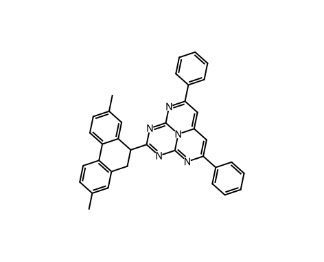 Cc1ccc2c(c1)CC(C1=NC3=NC(c4ccccc4)=CC4=CC(c5ccccc5)=NC(=N1)N43)c1cc(C)ccc1-2